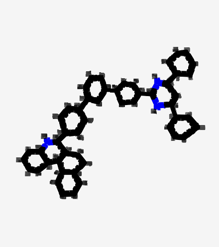 c1ccc(-c2cc(-c3ccccc3)nc(-c3ccc(-c4cccc(-c5ccc(-c6nc7ccccc7c7c6ccc6ccccc67)cc5)c4)cc3)n2)cc1